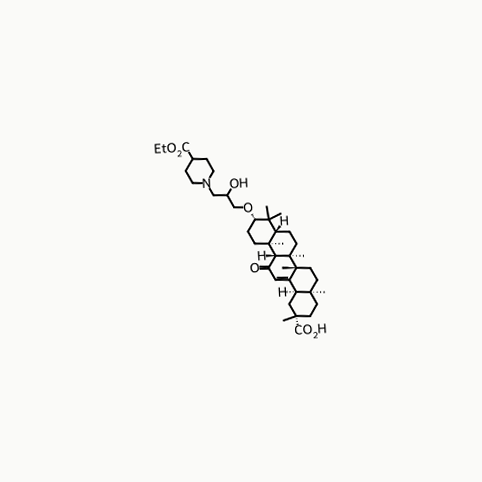 CCOC(=O)C1CCN(CC(O)CO[C@H]2CC[C@]3(C)[C@H]4C(=O)C=C5[C@@H]6C[C@@](C)(C(=O)O)CC[C@]6(C)CC[C@@]5(C)[C@]4(C)CC[C@H]3C2(C)C)CC1